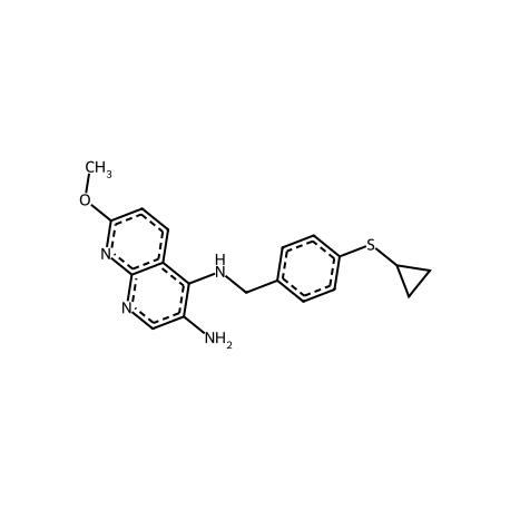 COc1ccc2c(NCc3ccc(SC4CC4)cc3)c(N)cnc2n1